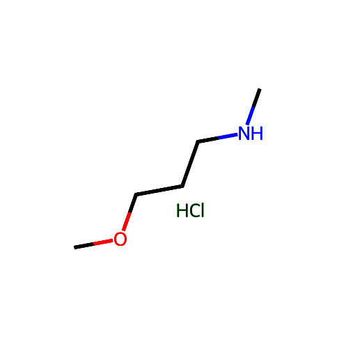 CNCCCOC.Cl